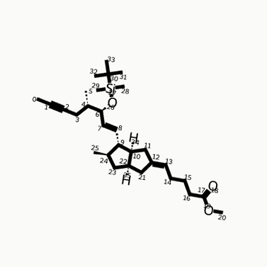 CC#CC[C@H](C)[C@@H](/C=C/[C@@H]1[C@H]2C/C(=C/CCCC(=O)OC)C[C@H]2C[C@H]1C)O[Si](C)(C)C(C)(C)C